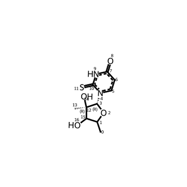 CC1O[C@@H](n2ccc(=O)[nH]c2=S)[C@](C)(O)C1O